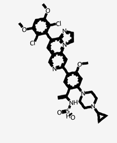 C=C(N[SH](=O)=O)c1cc(-c2cc3c(cn2)cc(-c2c(Cl)c(OC)cc(OC)c2Cl)c2nccn23)c(OC)cc1N1CCN(C2CC2)CC1